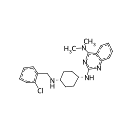 CN(C)c1nc(N[C@H]2CC[C@@H](NCc3ccccc3Cl)CC2)nc2ccccc12